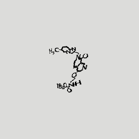 Cc1ccc2nc(Cn3ccc4c(OCCNC(=O)OC(C)(C)C)cncc4c3=O)cn2c1